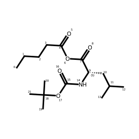 CCCCC(=O)OC(=O)[C@H](CC(C)C)NC(=O)OC(C)(C)C